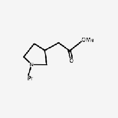 COC(=O)CC1CCN(C(C)C)C1